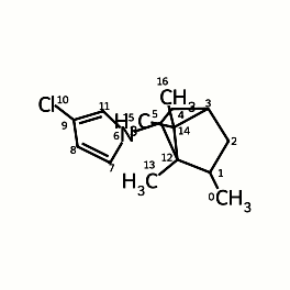 CC1CC2CC(n3ccc(Cl)c3)C1(C)C2(C)C